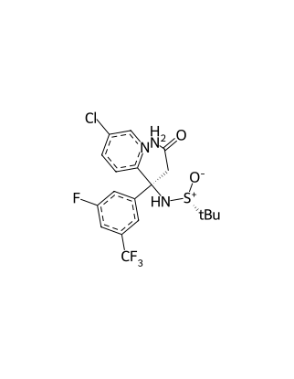 CC(C)(C)[S@@+]([O-])N[C@@](CC(N)=O)(c1cc(F)cc(C(F)(F)F)c1)c1ccc(Cl)cn1